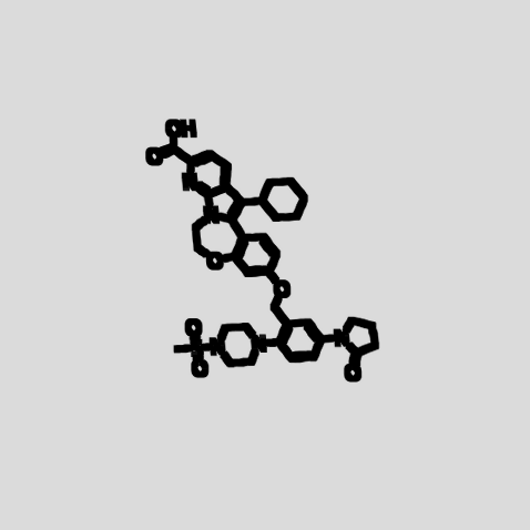 CS(=O)(=O)N1CCN(c2ccc(N3CCCC3=O)cc2COc2ccc3c(c2)OCCn2c-3c(C3CCCCC3)c3ccc(C(=O)O)nc32)CC1